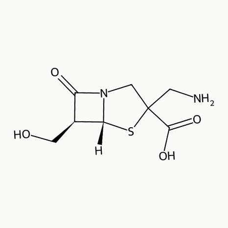 NCC1(C(=O)O)CN2C(=O)[C@H](CO)[C@H]2S1